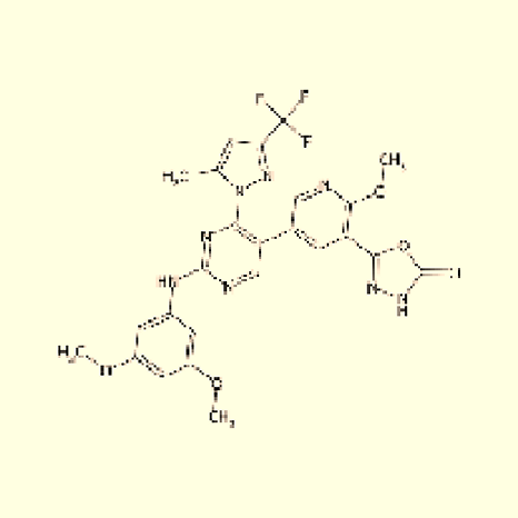 COc1cc(Nc2ncc(-c3cnc(OC)c(-c4n[nH]c(=O)o4)c3)c(-n3nc(C(F)(F)F)cc3C)n2)cc(OC)c1